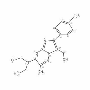 CCN(CC)c1nc2nc(-c3ccc(C)cc3)c(CO)n2nc1C